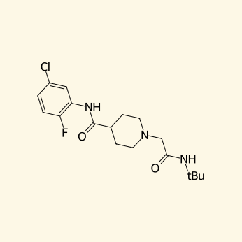 CC(C)(C)NC(=O)CN1CCC(C(=O)Nc2cc(Cl)ccc2F)CC1